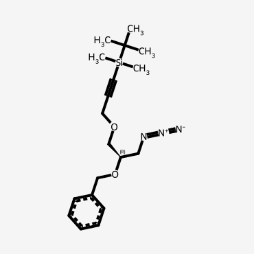 CC(C)(C)[Si](C)(C)C#CCOC[C@@H](CN=[N+]=[N-])OCc1ccccc1